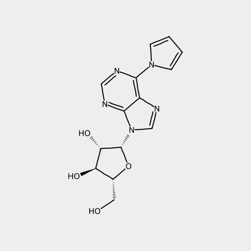 OC[C@H]1O[C@@H](n2cnc3c(-n4cccc4)ncnc32)[C@@H](O)[C@@H]1O